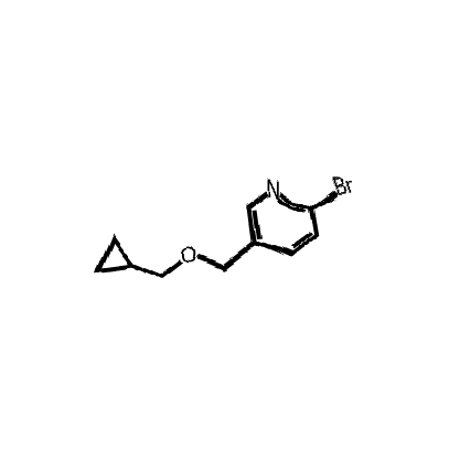 Brc1ccc(COCC2CC2)cn1